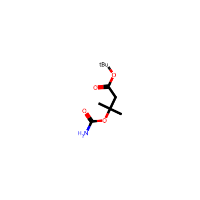 CC(C)(C)OC(=O)CC(C)(C)OC(N)=O